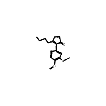 CCCCC1=C(c2ccc(OC)c(OC)c2)C(=O)CC1